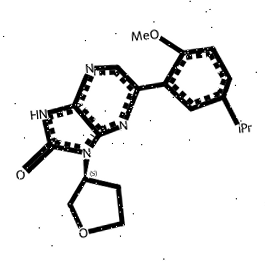 COc1ccc(C(C)C)cc1-c1cnc2[nH]c(=O)n([C@H]3CCOC3)c2n1